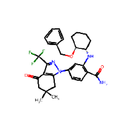 CC1(C)CC(=O)c2c(C(F)(F)F)nn(-c3ccc(C(N)=O)c(N[C@H]4CCCC[C@@H]4OCc4ccccc4)c3)c2C1